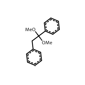 COC(Cc1cc[c]cc1)(OC)c1ccccc1